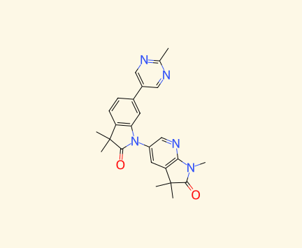 Cc1ncc(-c2ccc3c(c2)N(c2cnc4c(c2)C(C)(C)C(=O)N4C)C(=O)C3(C)C)cn1